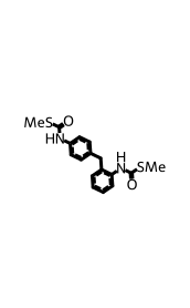 CSC(=O)Nc1ccc(Cc2ccccc2NC(=O)SC)cc1